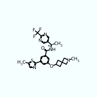 Cc1cnc(-c2cc(OC3CC4(C3)CN(C)C4)cc(C(=O)N[C@H](C)c3cnc(C(F)(F)F)nc3)c2)s1